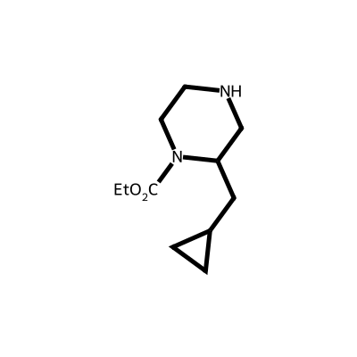 CCOC(=O)N1CCNCC1CC1CC1